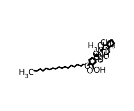 CCCCCCCCCCCCCCCCCCOc1ccc(S(=O)(=O)N/N=C2\N(CC)c3ccccc3C2(C)C)cc1C(=O)O